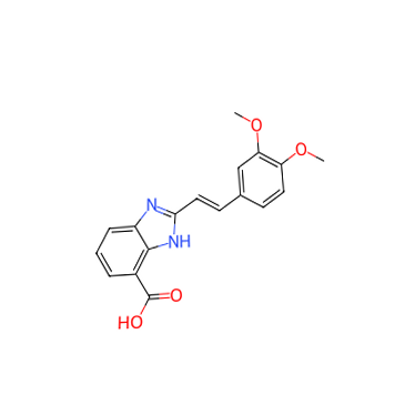 COc1ccc(C=Cc2nc3cccc(C(=O)O)c3[nH]2)cc1OC